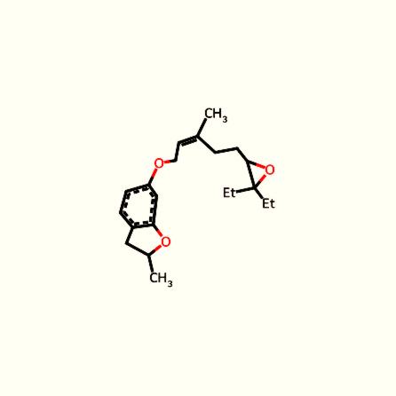 CCC1(CC)OC1CCC(C)=CCOc1ccc2c(c1)OC(C)C2